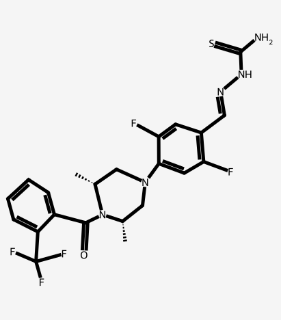 C[C@@H]1CN(c2cc(F)c(/C=N/NC(N)=S)cc2F)C[C@H](C)N1C(=O)c1ccccc1C(F)(F)F